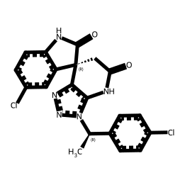 C[C@H](c1ccc(Cl)cc1)n1nnc2c1NC(=O)C[C@]21C(=O)Nc2ccc(Cl)cc21